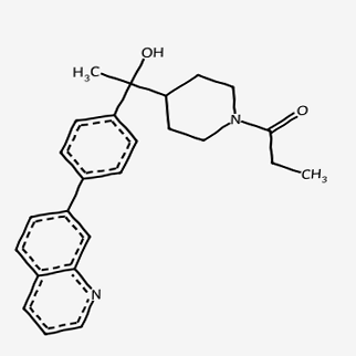 CCC(=O)N1CCC(C(C)(O)c2ccc(-c3ccc4cccnc4c3)cc2)CC1